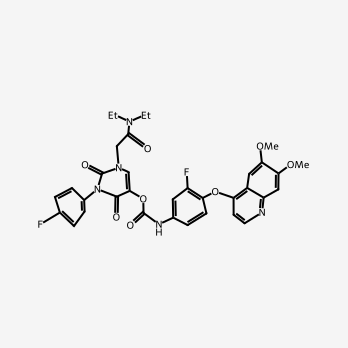 CCN(CC)C(=O)Cn1cc(OC(=O)Nc2ccc(Oc3ccnc4cc(OC)c(OC)cc34)c(F)c2)c(=O)n(-c2ccc(F)cc2)c1=O